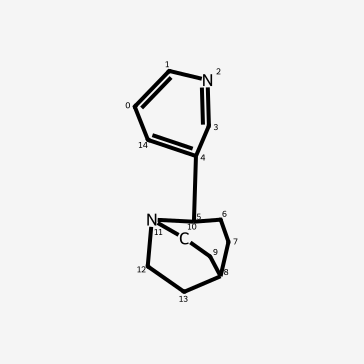 c1cncc(C2CCC3CCN2CC3)c1